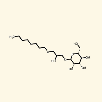 CCCCCCCCOCC(O)CO[C@H]1O[C@H](CO)[C@@H](O)[C@H](O)[C@@H]1O